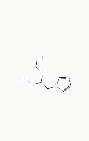 CCO[C@@H](Cn1ccnc1)OC